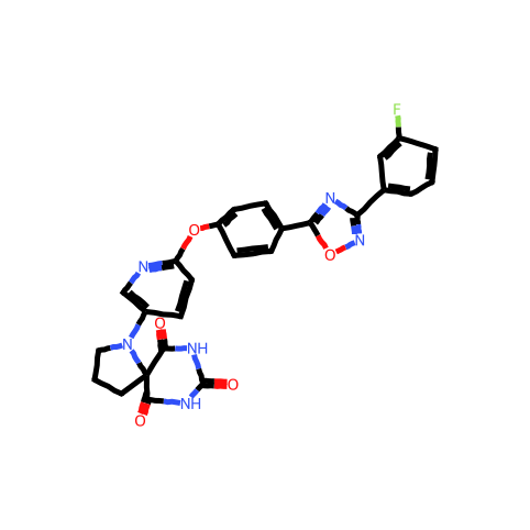 O=C1NC(=O)C2(CCCN2c2ccc(Oc3ccc(-c4nc(-c5cccc(F)c5)no4)cc3)nc2)C(=O)N1